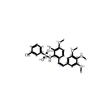 COc1ccc(/C=C\c2cc(OC)c(OC)c(OC)c2)c(NS(=O)(=O)c2cccc(Cl)c2)c1F